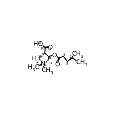 CC(C)CCC(=O)O[C@H](CC(=O)O)C[N+](C)(C)C